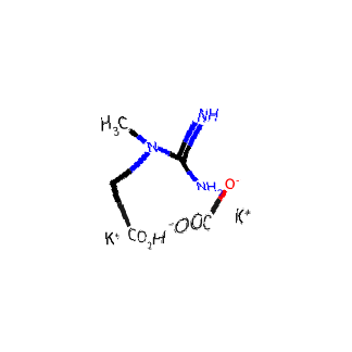 CN(CC(=O)O)C(=N)N.O=C([O-])[O-].[K+].[K+]